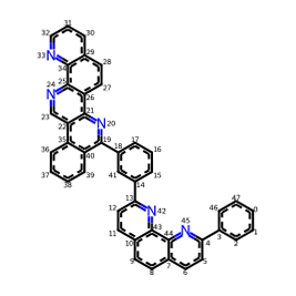 c1ccc(-c2ccc3ccc4ccc(-c5cccc(-c6nc7c(cnc8c7ccc7cccnc78)c7ccccc67)c5)nc4c3n2)cc1